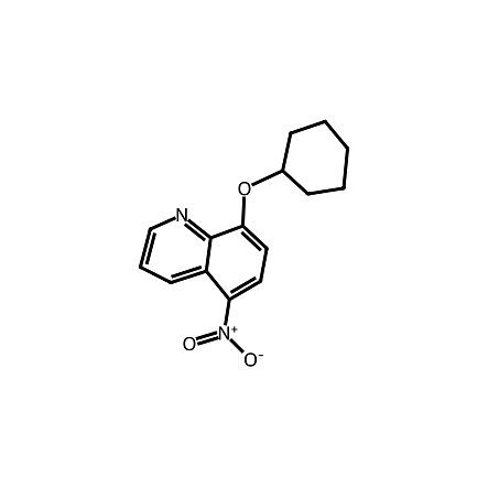 O=[N+]([O-])c1ccc(OC2CCCCC2)c2ncccc12